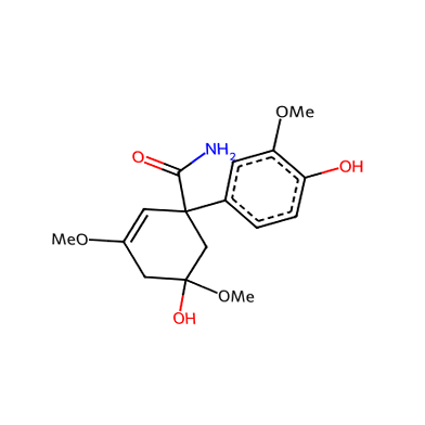 COC1=CC(C(N)=O)(c2ccc(O)c(OC)c2)CC(O)(OC)C1